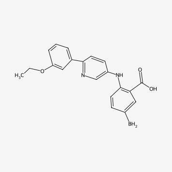 Bc1ccc(Nc2ccc(-c3cccc(OCC)c3)nc2)c(C(=O)O)c1